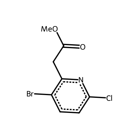 COC(=O)Cc1nc(Cl)ccc1Br